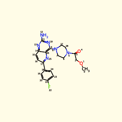 COCC(=O)N1CCN(c2nc(N)nc3ccc(-c4ccc(F)cc4)nc23)CC1